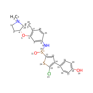 CN1CC[C@@H](Oc2cc(N[S+]([O-])c3cc(-c4ccc(O)cc4)c(Cl)s3)ccc2C(F)(F)F)C1